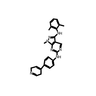 Cc1cccc(C)c1Nc1nn(C)c2nc(Nc3ccc(C4=CCN=CC4)cc3)ncc12